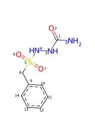 NC(=O)NNS(=O)(=O)Cc1ccccc1